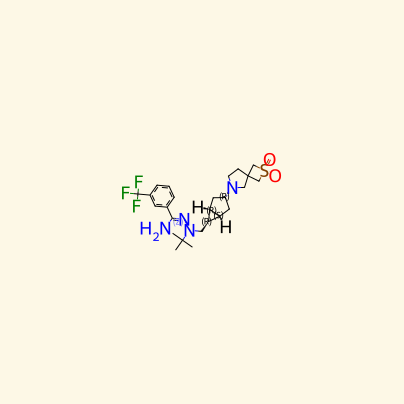 CC(C)(C)N(C[C@H]1[C@@H]2C[C@H](N3CCC4(C3)CS(=O)(=O)C4)C[C@@H]21)/N=C(\N)c1cccc(C(F)(F)F)c1